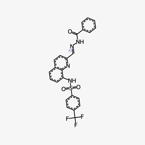 O=C(N/N=C/c1ccc2cccc(NS(=O)(=O)c3ccc(C(F)(F)F)cc3)c2n1)c1ccccc1